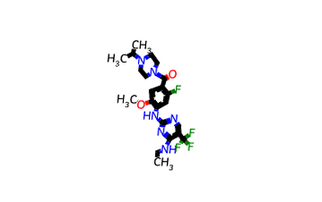 CCNc1nc(Nc2cc(F)c(C(=O)N3CCN(C(C)C)CC3)cc2OC)ncc1C(F)(F)F